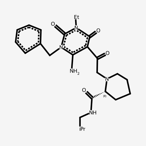 CCn1c(=O)c(C(=O)CN2CCCC[C@@H]2C(=O)NCC(C)C)c(N)n(Cc2ccccc2)c1=O